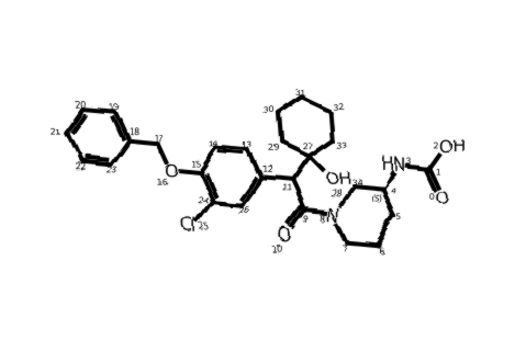 O=C(O)N[C@H]1CCCN(C(=O)C(c2ccc(OCc3ccccc3)c(Cl)c2)C2(O)CCCCC2)C1